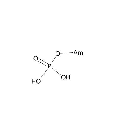 O=P(O)(O)[O][Am]